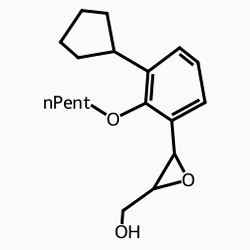 CCCCCOc1c(C2CCCC2)cccc1C1OC1CO